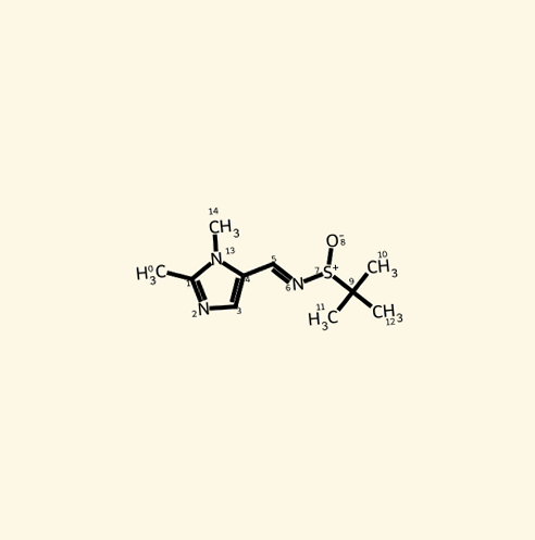 Cc1ncc(C=N[S+]([O-])C(C)(C)C)n1C